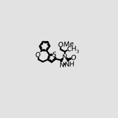 COCC(C)n1c(-c2cc3c(s2)-c2ccccc2OCC3)n[nH]c1=O